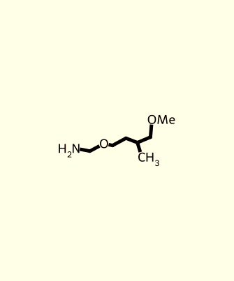 COCC(C)CCOCN